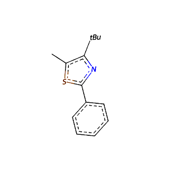 Cc1sc(-c2ccccc2)nc1C(C)(C)C